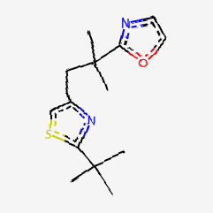 CC(C)(C)c1nc(CC(C)(C)c2ncco2)cs1